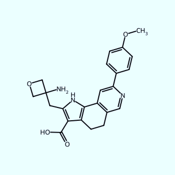 COc1ccc(-c2cc3c(cn2)CCc2c-3[nH]c(CC3(N)COC3)c2C(=O)O)cc1